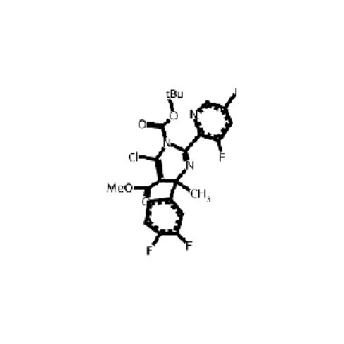 COC(=O)C1=C(Cl)N(C(=O)OC(C)(C)C)C(c2ncc(I)cc2F)=NC1(C)c1ccc(F)c(F)c1